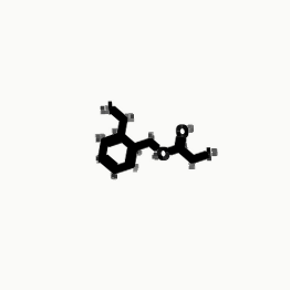 O=C(CI)OCc1ccccc1CI